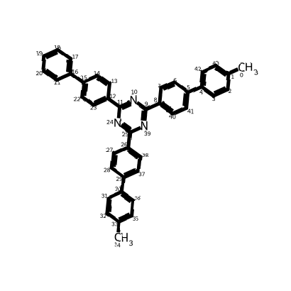 Cc1ccc(-c2ccc(-c3nc(-c4ccc(-c5ccccc5)cc4)nc(-c4ccc(-c5ccc(C)cc5)cc4)n3)cc2)cc1